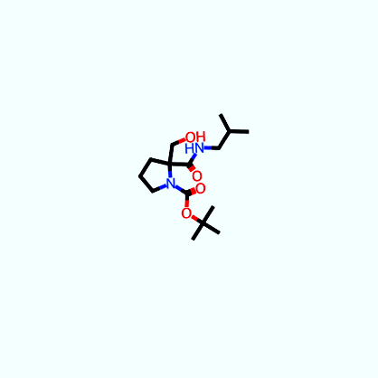 CC(C)CNC(=O)C1(CO)CCCN1C(=O)OC(C)(C)C